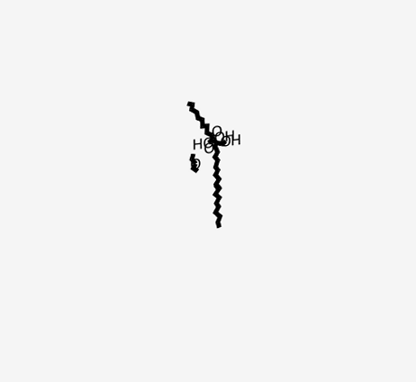 CCCCCCCCC=CCCCCCCCC(=O)C(O)(CO)C(O)C(=O)CCCCCCCCC.CCOCC